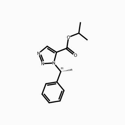 CC(C)OC(=O)c1cnnn1[C@H](C)c1ccccc1